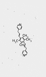 Cc1c(C)c(C=CCc2ccncc2)c(C)c(C)c1C=CCc1ccncc1